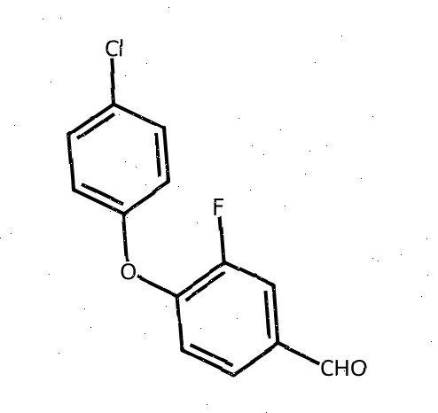 O=Cc1ccc(Oc2ccc(Cl)cc2)c(F)c1